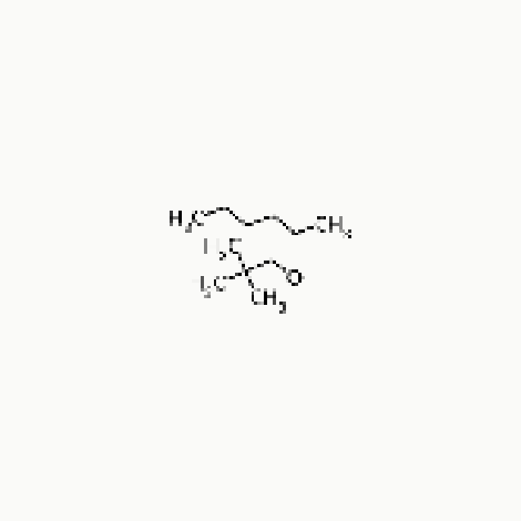 CC(C)(C)C[O].CCCCCC